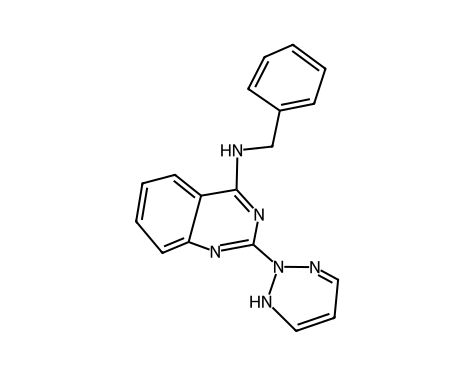 C1=CNN(c2nc(NCc3ccccc3)c3ccccc3n2)N=C1